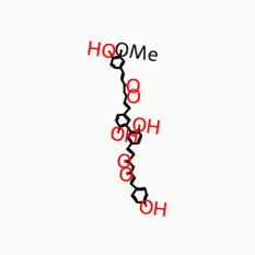 COc1cc(/C=C/C(=O)CC(=O)/C=C/c2ccc(O)c(-c3cc(/C=C/C(=O)CC(=O)/C=C/c4ccc(O)cc4)ccc3O)c2)ccc1O